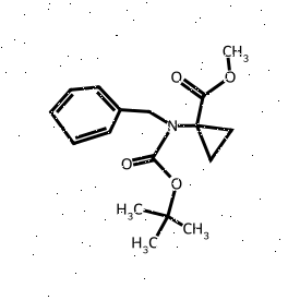 COC(=O)C1(N(Cc2ccccc2)C(=O)OC(C)(C)C)CC1